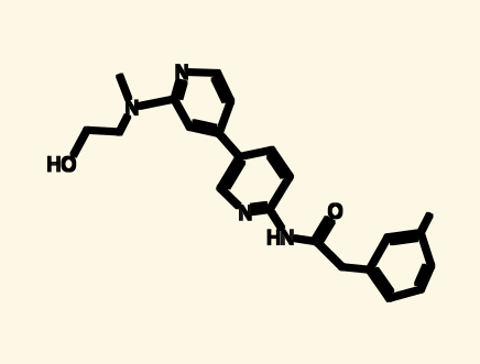 Cc1cccc(CC(=O)Nc2ccc(-c3ccnc(N(C)CCO)c3)cn2)c1